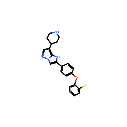 Fc1ccccc1Oc1ccc(-c2cn3ncc(C4CCNCC4)c3[nH]2)cc1